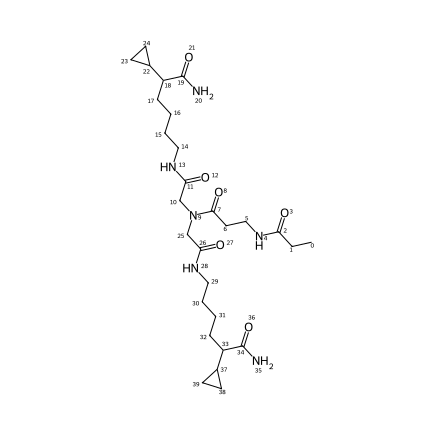 CCC(=O)NCCC(=O)N(CC(=O)NCCCCC(C(N)=O)C1CC1)CC(=O)NCCCCC(C(N)=O)C1CC1